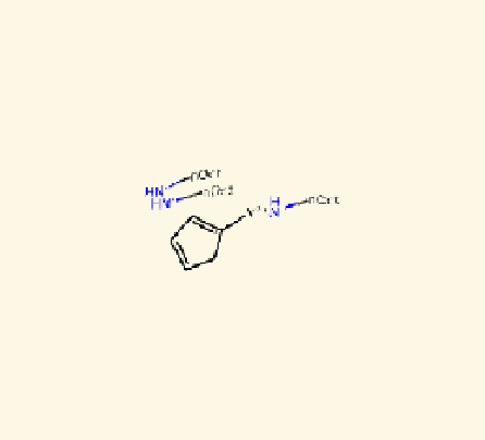 CCCCCCCC[NH-].CCCCCCCC[NH-].CCCCCCCC[NH-].[V+3][C]1=CC=CC1